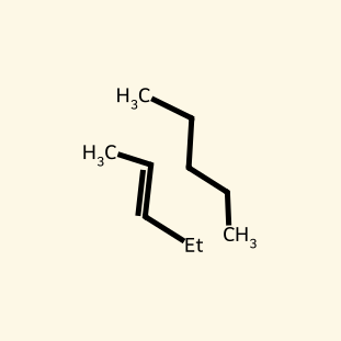 C/C=C/CC.CCCCC